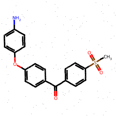 CS(=O)(=O)c1ccc(C(=O)c2ccc(Oc3ccc(N)cc3)cc2)cc1